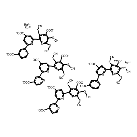 N#CSc1nc(-c2cc(C(=O)[O-])cc(-c3cc(C(=O)[O-])ccn3)n2)c(SC#N)c(C(=O)[O-])c1SC#N.N#CSc1nc(-c2cc(C(=O)[O-])cc(-c3cc(C(=O)[O-])ccn3)n2)c(SC#N)c(C(=O)[O-])c1SC#N.N#CSc1nc(-c2cc(C(=O)[O-])cc(-c3cc(C(=O)[O-])ccn3)n2)c(SC#N)c(C(=O)[O-])c1SC#N.N#CSc1nc(-c2cc(C(=O)[O-])cc(-c3cc(C(=O)[O-])ccn3)n2)c(SC#N)c(C(=O)[O-])c1SC#N.[Ru+4].[Ru+4].[Ru+4]